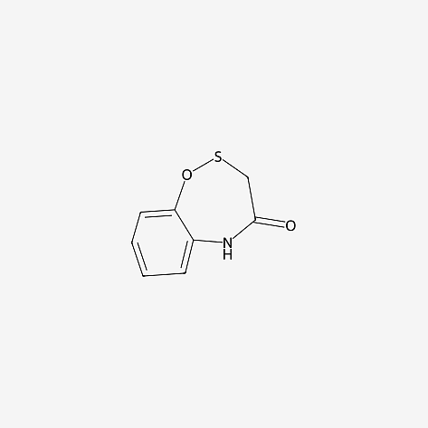 O=C1CSOc2ccccc2N1